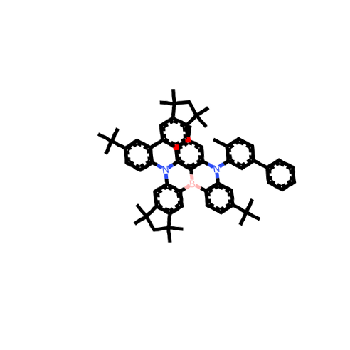 Cc1cc2c3c(c1)N(c1ccc(C(C)(C)C)cc1-c1ccc4c(c1)C(C)(C)CC4(C)C)c1cc4c(cc1B3c1ccc(C(C)(C)C)cc1N2c1cc(-c2ccccc2)ccc1C)C(C)(C)CC4(C)C